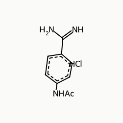 CC(=O)Nc1ccc(C(=N)N)cc1.Cl